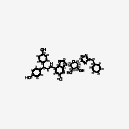 Oc1ccc(C(CNc2nc(Cl)nc3c2ncn3[C@@H]2O[C@H](c3nnn(Cc4ccccc4)n3)[C@@H](O)[C@H]2O)c2ccc(O)cc2)cc1